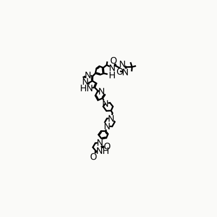 Cc1cc(-c2ncnc3[nH]c(-c4ccc(N5CCC(CN6CCN(c7ccc(N8CCC(=O)NC8=O)cc7)CC6)CC5)cn4)cc23)ccc1C(C)NC(=O)c1nc(C(C)(C)C)no1